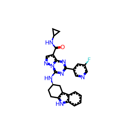 O=C(NC1CC1)c1cnn2c(N[C@@H]3CCc4[nH]c5ccccc5c4C3)nc(-c3cncc(F)c3)nc12